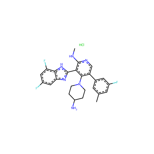 CNc1ncc(-c2cc(C)cc(F)c2)c(N2CCC(N)CC2)c1-c1nc2cc(F)cc(F)c2[nH]1.Cl